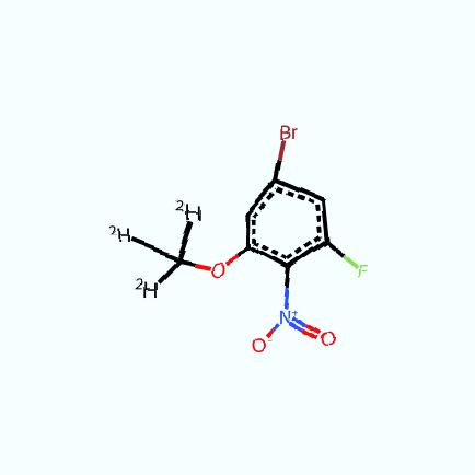 [2H]C([2H])([2H])Oc1cc(Br)cc(F)c1[N+](=O)[O-]